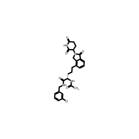 CC(=O)N[C@@H](CCCc1cccc2c1CN(C1CCC(=O)NC1=O)C2=O)C(=O)NCc1cccc(Cl)c1